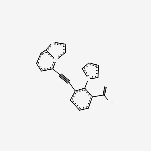 O=C(O)c1cccc(C#Cc2cccc3nccn23)c1-n1cccc1